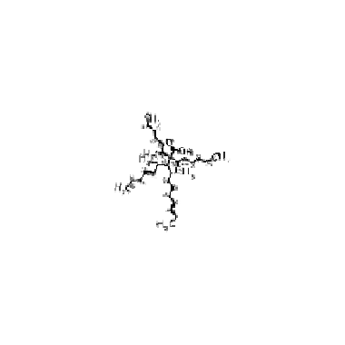 CCCCCCCCC(C(C)CCCCC)C(C(=O)O)(C(C)CCCCC)C(C)CCCCC